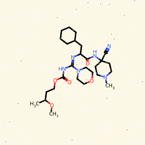 COC(C)CCOC(=O)N/C(=N/C(CC1CCCCC1)C(=O)NC1(C#N)CCN(C)CC1)N1CCOCC1